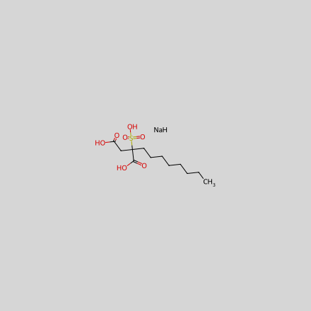 CCCCCCCCC(CC(=O)O)(C(=O)O)S(=O)(=O)O.[NaH]